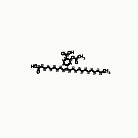 CC(=O)Oc1ccccc1C(=O)O.CCCCCCCCCCCCCCCCCCCCCC(=O)O